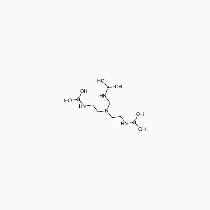 OB(O)NCCN(CCNB(O)O)CNB(O)O